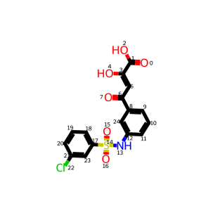 O=C(O)/C(O)=C/C(=O)c1cccc(NS(=O)(=O)c2cccc(Cl)c2)c1